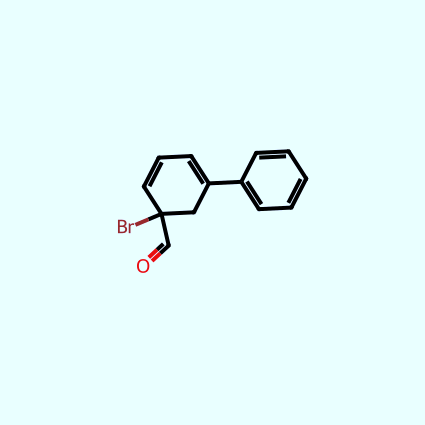 O=CC1(Br)C=CC=C(c2ccccc2)C1